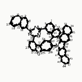 c1ccc(-c2nc(-c3ccc4ccccc4c3)nc(-c3cccc4oc5cc(-n6c7cc8ccccc8cc7c7cc8ccccc8cc76)c(-c6ccccc6)cc5c34)n2)cc1